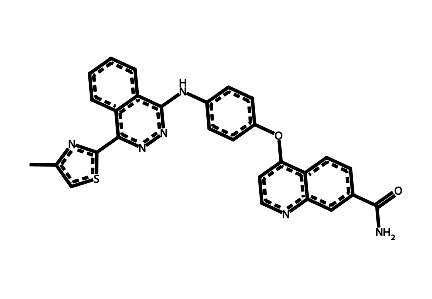 Cc1csc(-c2nnc(Nc3ccc(Oc4ccnc5cc(C(N)=O)ccc45)cc3)c3ccccc23)n1